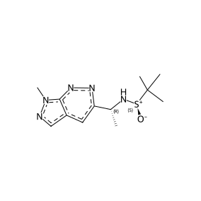 C[C@@H](N[S@+]([O-])C(C)(C)C)c1cc2cnn(C)c2nn1